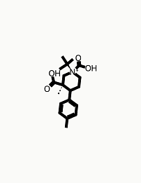 Cc1ccc(C2CC[N@+](C(=O)O)(C(C)(C)C)C[C@]2(C)C(=O)O)cc1